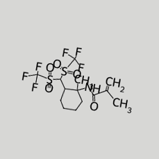 C=C(C)C(=O)NC1(C)CCCCC1C(S(=O)(=O)C(F)(F)F)S(=O)(=O)C(F)(F)F